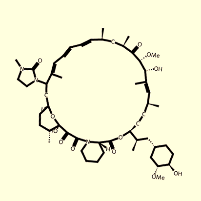 CO[C@@H]1C[C@H](C[C@@H](C)[C@@H]2CC[C@H](C)/C=C(\C)[C@@H](O)[C@@H](OC)C(=O)[C@H](C)C[C@H](C)/C=C/C=C/C=C(\C)C(N3CCN(C)C3=O)C[C@@H]3CC[C@@H](C)[C@@](O)(O3)C(=O)C(=O)N3CCCC[C@H]3C(=O)O2)CC[C@H]1O